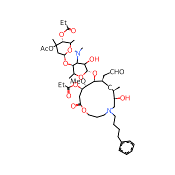 CCC(=O)O[C@@H]1C(C)O[C@@H](O[C@@H]2C(C)O[C@@H](O[C@H]3[C@@H](CC=O)C[C@@H](C)[C@@H](O)CN(CCCCc4ccccc4)CCCOC(=O)C[C@@H](OC(=O)CC)[C@@H]3OC)C(O)C2N(C)C)CC1(C)OC(C)=O